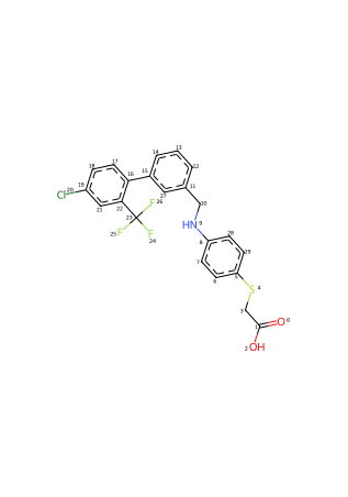 O=C(O)CSc1ccc(NCc2cccc(-c3ccc(Cl)cc3C(F)(F)F)c2)cc1